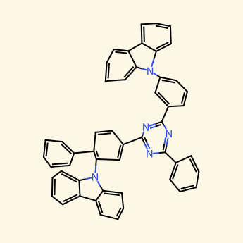 c1ccc(-c2nc(-c3cccc(-n4c5ccccc5c5ccccc54)c3)nc(-c3ccc(-c4ccccc4)c(-n4c5ccccc5c5ccccc54)c3)n2)cc1